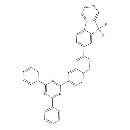 FC1(F)c2ccccc2-c2ccc(-c3ccc4ccc(-c5nc(-c6ccccc6)nc(-c6ccccc6)n5)cc4c3)cc21